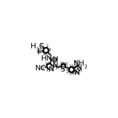 Cc1ccc(CNC(=O)c2cc(C#N)cnc2NCc2ccc(-c3ccc4ncnc(N)c4c3)s2)cc1F